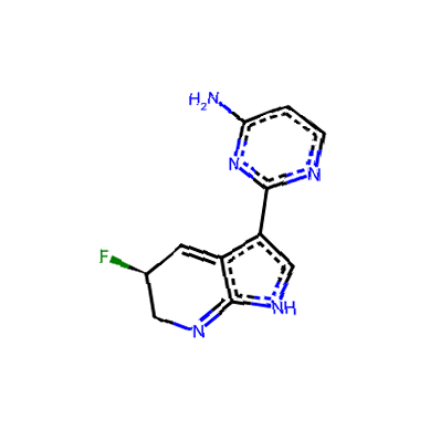 Nc1ccnc(-c2c[nH]c3c2=C[C@H](F)CN=3)n1